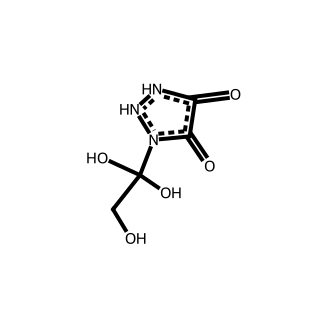 O=c1[nH][nH]n(C(O)(O)CO)c1=O